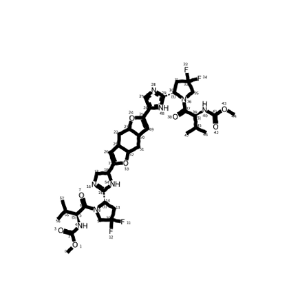 COC(=O)N[C@H](C(=O)N1CC(F)(F)C[C@H]1C1=NCC(C2=CC3CC4OC(c5cnc([C@@H]6CC(F)(F)CN6C(=O)[C@@H](NC(=O)OC)C(C)C)[nH]5)=CC4CC3O2)N1)C(C)C